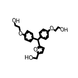 OCCOc1ccc(C(c2ccc(OCCO)cc2)c2ccc(CO)o2)cc1